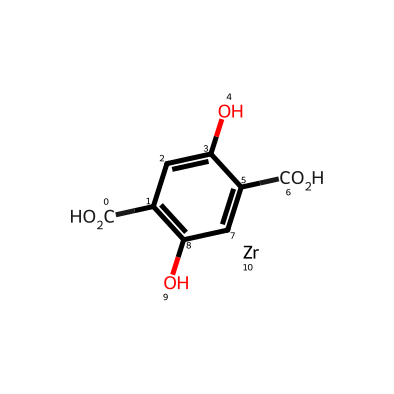 O=C(O)c1cc(O)c(C(=O)O)cc1O.[Zr]